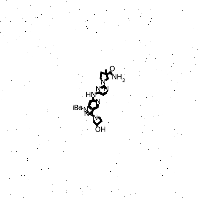 CC[C@H](C)n1nc(N2CCC(O)C2)c2cnc(Nc3ccnc(N4CCC(C)(C(N)=O)C4)n3)cc21